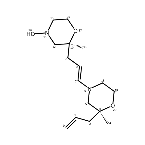 C=CC[C@@]1(C)CN(/C=C/C[C@@]2(C)CN(O)CCO2)CCO1